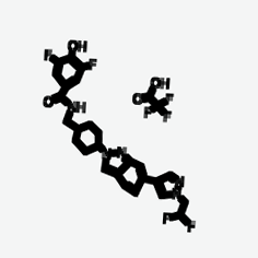 O=C(NCC1CCC(n2cc3ccc(-c4cnn(CC(F)F)c4)cc3n2)CC1)c1cc(F)c(O)c(F)c1.O=C(O)C(F)(F)F